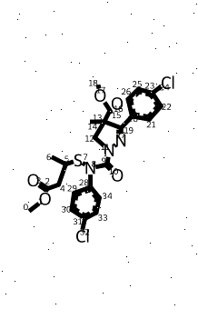 COC(=O)CC(C)SN(C(=O)N1CC(C)(C(=O)OC)C(c2ccc(Cl)cc2)=N1)c1ccc(Cl)cc1